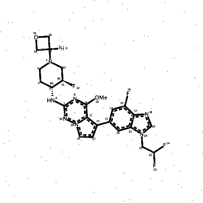 [2H]C1(N2CC[C@@H](Nc3nc(OC)c4c(-c5cc(F)c6ncn(CC(F)F)c6c5)ccn4n3)[C@H](F)C2)COC1